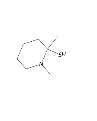 CN1CCCCC1(C)S